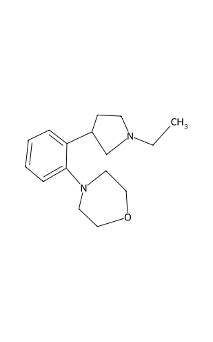 CCN1CCC(c2ccccc2N2CCOCC2)C1